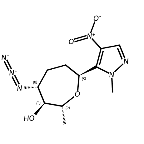 C[C@H]1O[C@H](c2c([N+](=O)[O-])cnn2C)CC[C@@H](N=[N+]=[N-])[C@@H]1O